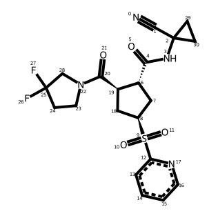 N#CC1(NC(=O)[C@@H]2C[C@@H](S(=O)(=O)c3ccccn3)C[C@H]2C(=O)N2CCC(F)(F)C2)CC1